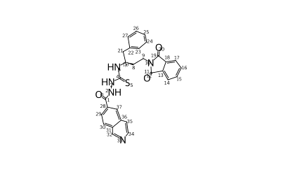 O=C(NNC(=S)N[C@H](CCN1C(=O)c2ccccc2C1=O)Cc1ccccc1)c1ccc2cnccc2c1